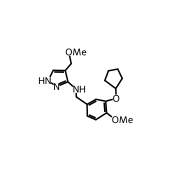 COCc1c[nH]nc1NCc1ccc(OC)c(OC2CCCC2)c1